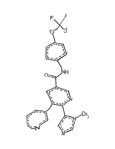 Cn1cncc1-c1ncc(C(=O)Nc2ccc(OC(F)(F)Cl)cc2)cc1-c1cccnc1